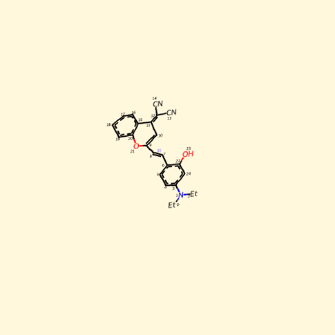 CCN(CC)c1ccc(/C=C/C2=CC(=C(C#N)C#N)c3ccccc3O2)c(O)c1